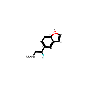 CNCC(F)c1ccc2occc2c1